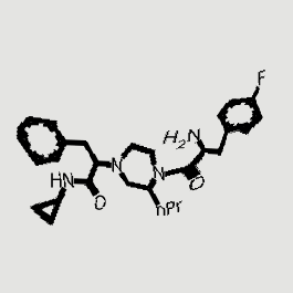 CCCC1CN(C(Cc2ccccc2)C(=O)NC2CC2)CCN1C(=O)C(N)Cc1ccc(F)cc1